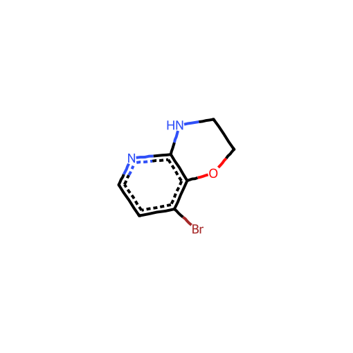 Brc1ccnc2c1OCCN2